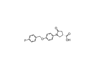 O=C(O)[C@H]1CC(=O)N(c2ccc(OCc3ccc(F)cc3)cc2)C1